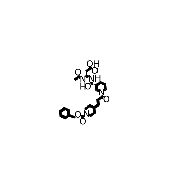 CC(=O)N[C@@H](CC(=O)O)NC(=O)[C@@H]1CCCN(C(=O)CCC2CCN(C(=O)OCc3ccccc3)CC2)C1